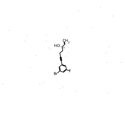 C=C[C@@H](O)CCC#Cc1cc(F)cc(Br)c1